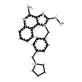 CCCSc1nc2c(N)nc3ccccc3c2n1Cc1ccc(CN2CCCC2)cc1